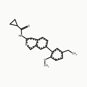 CCc1ccc(OC)c(-c2ccc3cc(NC(=O)C4CC4)ncc3c2)c1